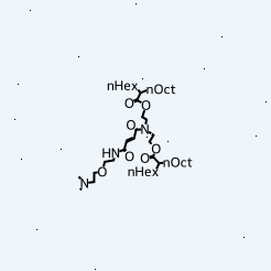 CCCCCCCCC(CCCCCC)C(=O)OCCN(CCOC(=O)C(CCCCCC)CCCCCCCC)C(=O)C=CC(=O)NCCOCCN(C)C